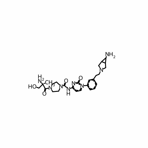 C[C@](N)(CO)C(=O)N1CCN(C(=O)Nc2ccn(-c3cccc(CCN4CC5C(N)C5C4)c3)c(=O)n2)CC1